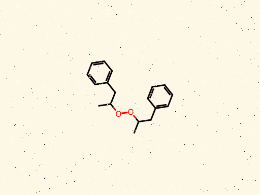 CC(Cc1ccccc1)OOC(C)Cc1ccccc1